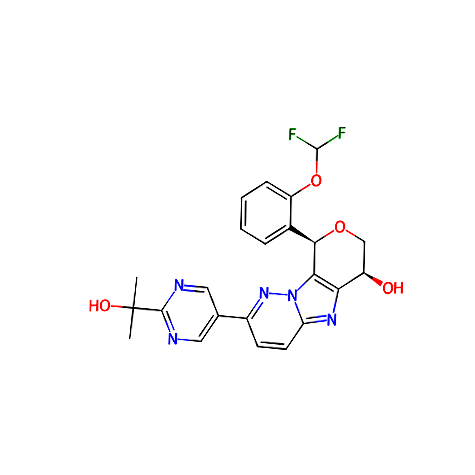 CC(C)(O)c1ncc(-c2ccc3nc4c(n3n2)[C@@H](c2ccccc2OC(F)F)OC[C@H]4O)cn1